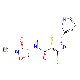 CCN1OCC(NC(=O)c2sc(-c3cccnc3)nc2Cl)C1=O